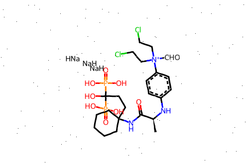 C[C@H](Nc1ccc([N+](C=O)(CCCl)CCCl)cc1)C(=O)NC1(CCC(O)(P(=O)(O)O)P(=O)(O)O)CCCCC1.[NaH].[NaH].[NaH]